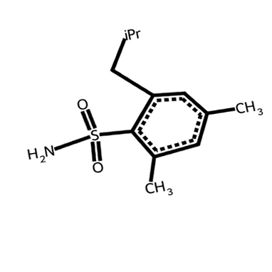 Cc1cc(C)c(S(N)(=O)=O)c(CC(C)C)c1